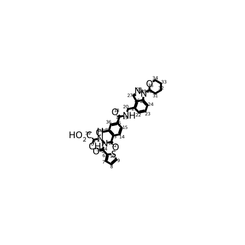 C[C@H](NN(C(=O)c1cccs1)C(=O)c1ccc(C(=O)NCc2cccc3c2cnn3C2CCCCO2)cc1Cl)C(=O)O